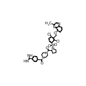 Cc1cnc2cccc(OCc3c(Cl)ccc(S(=O)(=O)N4CCCC4C(=O)N4CCN(C(=O)c5ccc(C(=N)N)cc5)CC4)c3Cl)c2n1